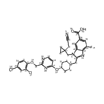 N#CCC1(Cn2c(CN3CCC(Oc4ccnc(COc5ccc(Cl)cc5Cl)n4)CC3)nc3c(F)cc(C(=O)O)cc32)CC1